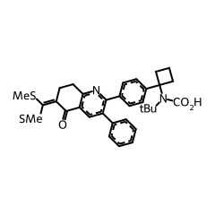 CSC(SC)=C1CCc2nc(-c3ccc(C4(N(C(=O)O)C(C)(C)C)CCC4)cc3)c(-c3ccccc3)cc2C1=O